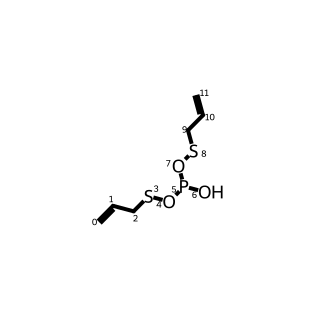 C=CCSOP(O)OSCC=C